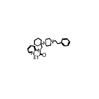 CCC(=O)N(CC1(N2CCN(CCc3ccccc3)CC2)CCCCC1)c1ccccn1